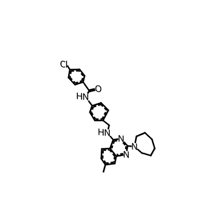 Cc1ccc2c(NCc3ccc(NC(=O)c4ccc(Cl)cc4)cc3)nc(N3CCCCCC3)nc2c1